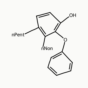 CCCCCCCCCc1c(CCCCC)ccc(O)c1Oc1ccccc1